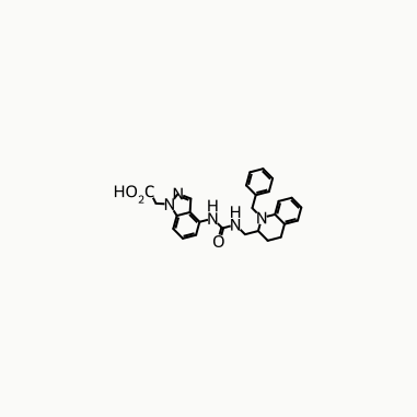 O=C(O)Cn1ncc2c(NC(=O)NCC3CCc4ccccc4N3Cc3ccccc3)cccc21